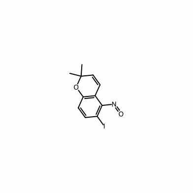 CC1(C)C=Cc2c(ccc(I)c2N=O)O1